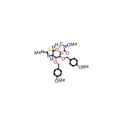 CNC1=N[C@@H]2[C@@H](OCc3ccc(OC)cc3)[C@H](OCc3ccc(OC)cc3)[C@@H](C(=O)N(C)OC)O[C@@H]2S1